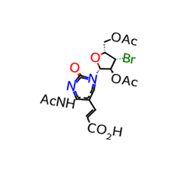 CC(=O)Nc1nc(=O)n([C@@H]2O[C@H](COC(C)=O)[C@H](Br)[C@H]2OC(C)=O)cc1/C=C/C(=O)O